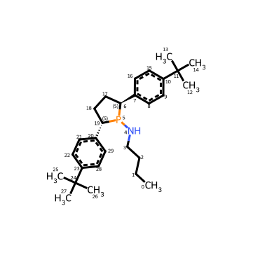 CCCCNP1[C@H](c2ccc(C(C)(C)C)cc2)CC[C@H]1c1ccc(C(C)(C)C)cc1